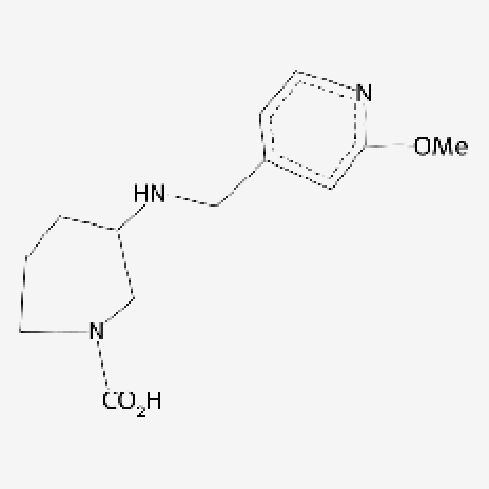 COc1cc(CNC2CCCN(C(=O)O)C2)ccn1